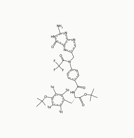 [2H]c1c([2H])c(OC(C)(C)C)c([2H])c([2H])c1C[C@H](NC(=O)c1ccc(N(Cc2cnc3nc(N)[nH]c(=O)c3n2)C(=O)C(F)(F)F)cc1)C(=O)OC(C)(C)C